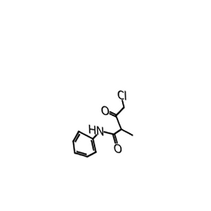 CC(C(=O)CCl)C(=O)Nc1ccccc1